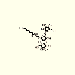 NCCCCCC(=O)NCCO[C@@H]1O[C@H](CO[C@H]2O[C@H](CO)[C@@H](O)[C@H](O)[C@@H]2O)[C@@H](O)[C@H](O[C@H]2O[C@H](CO)[C@@H](O)[C@H](O)[C@@H]2O)[C@H]1O